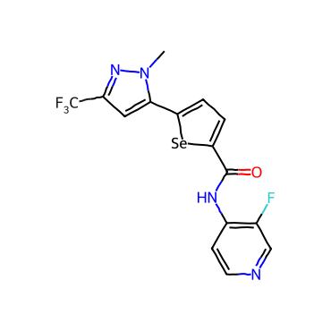 Cn1nc(C(F)(F)F)cc1-c1ccc(C(=O)Nc2ccncc2F)[se]1